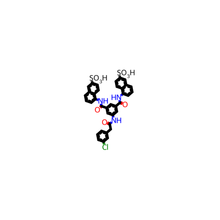 O=C(Cc1cccc(Cl)c1)Nc1cc(C(=O)Nc2cccc3cc(S(=O)(=O)O)ccc23)cc(C(=O)Nc2cccc3cc(S(=O)(=O)O)ccc23)c1